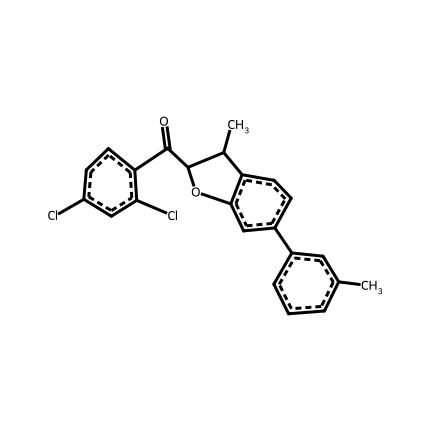 Cc1cccc(-c2ccc3c(c2)OC(C(=O)c2ccc(Cl)cc2Cl)C3C)c1